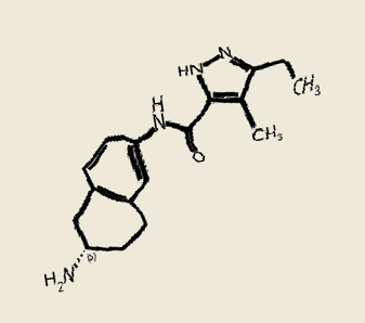 CCc1n[nH]c(C(=O)Nc2ccc3c(c2)CC[C@H](N)C3)c1C